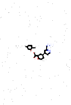 COc1ccc(CC(=O)O)c(OCc2coc3ccc(-c4ccnc(CN)c4)cc23)c1